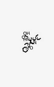 CCN(CC)c1ncc(N(CC)C(=O)N2CCCCC2)c(NCC(=O)O)n1